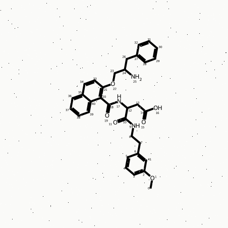 COc1cccc(CCNC(=O)C(CC(=O)O)NC(=O)c2c(OCC(N)Cc3ccccc3)ccc3ccccc23)c1